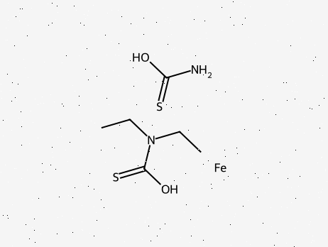 CCN(CC)C(O)=S.NC(O)=S.[Fe]